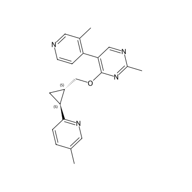 Cc1ccc([C@H]2C[C@@H]2COc2nc(C)ncc2-c2ccncc2C)nc1